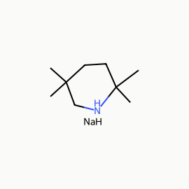 CC1(C)CCC(C)(C)NC1.[NaH]